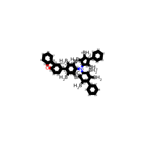 BC1=C(B)C(N(C/C(B)=C(B)\C(=C(\B)C#C)c2ccccc2)c2c(B)c(B)c(-c3ccc4oc5ccccc5c4c3)c(B)c2B)C(B)=C1c1ccccc1